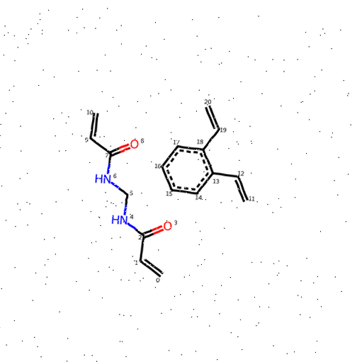 C=CC(=O)NCNC(=O)C=C.C=Cc1ccccc1C=C